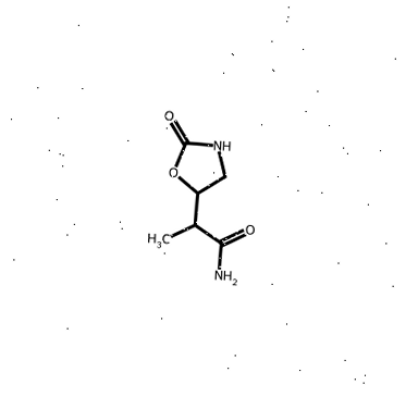 CC(C(N)=O)C1CNC(=O)O1